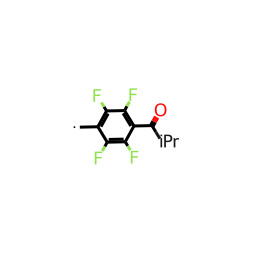 [CH2]c1c(F)c(F)c(C(=O)C(C)C)c(F)c1F